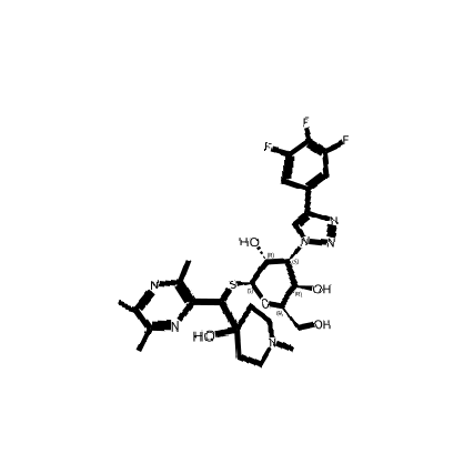 Cc1nc(C)c(C(S[C@@H]2O[C@H](CO)[C@H](O)[C@H](n3cc(-c4cc(F)c(F)c(F)c4)nn3)[C@H]2O)C2(O)CCN(C)CC2)nc1C